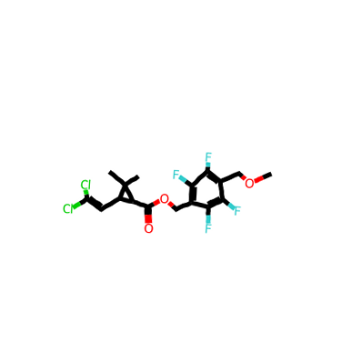 COCc1c(F)c(F)c(COC(=O)C2C(C=C(Cl)Cl)C2(C)C)c(F)c1F